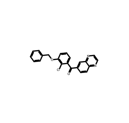 O=C(c1ccc2nccnc2c1)c1cccc(OCc2ccccc2)c1Cl